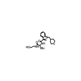 CC(C)(C)C(NC(=O)c1nn(CC2CCSCC2)c2ccccc12)C(=O)NCCO